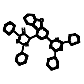 c1ccc(C2=NC(c3cc(-c4nc(-c5ccccc5)nc(-c5ccccc5)n4)cc4oc5ccccc5c34)NC(c3ccccc3)=N2)cc1